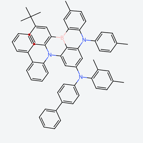 Cc1ccc(N2c3ccc(C)cc3B3c4cc(C(C)(C)C)ccc4N(c4ccccc4-c4ccccc4)c4cc(N(c5ccc(-c6ccccc6)cc5)c5ccc(C)cc5C)cc2c43)cc1